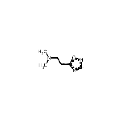 CN(C)CCc1n[c]no1